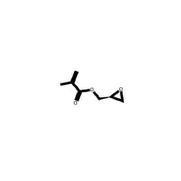 C=C(C)C(=O)OC[C@@H]1CO1